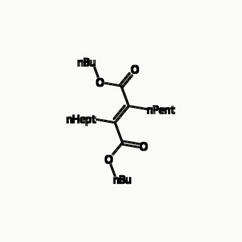 CCCCCCCC(C(=O)OCCCC)=C(CCCCC)C(=O)OCCCC